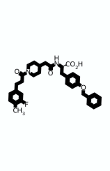 Cc1ccc(CCC(=O)N2CCC(CC(=O)N[C@@H](Cc3ccc(OCc4ccccc4)cc3)C(=O)O)CC2)cc1F